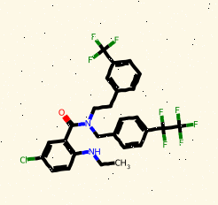 CCNc1ccc(Cl)cc1C(=O)N(CCc1cccc(C(F)(F)F)c1)Cc1ccc(C(F)(F)C(F)(F)F)cc1